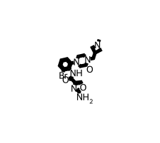 CN1CC(CN2CCN(c3cccc(Br)c3NC(=O)c3coc(N)n3)CC2=O)C1